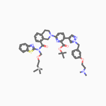 CN(C)CCOc1cccc(Cn2cc(-c3ccc(N4CCc5cccc(C(=O)N(COCC[Si](C)(C)C)c6nc7ccccc7s6)c5C4)nc3C(=O)OC(C)(C)C)cn2)c1